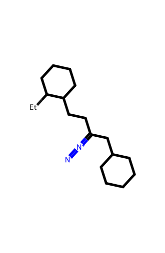 CCC1CCCCC1CCC(CC1CCCCC1)=[N+]=[N-]